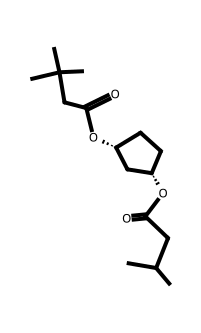 CC(C)CC(=O)O[C@H]1CC[C@@H](OC(=O)CC(C)(C)C)C1